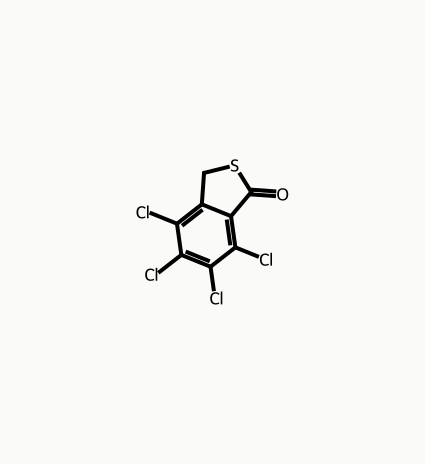 O=C1SCc2c(Cl)c(Cl)c(Cl)c(Cl)c21